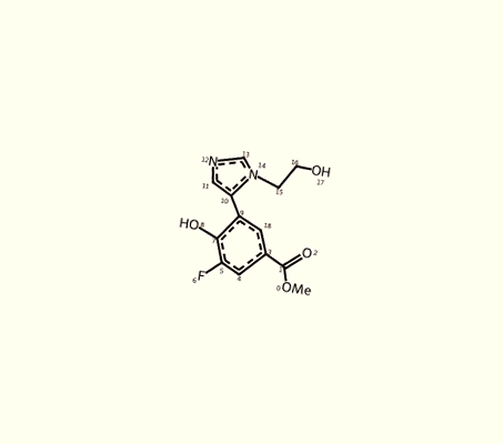 COC(=O)c1cc(F)c(O)c(-c2cncn2CCO)c1